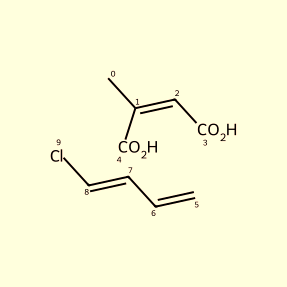 C/C(=C/C(=O)O)C(=O)O.C=CC=CCl